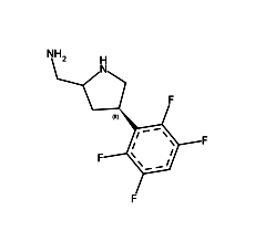 NCC1C[C@H](c2c(F)c(F)cc(F)c2F)CN1